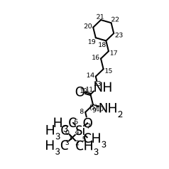 CC(C)(C)[Si](C)(C)OC[C@H](N)C(=O)NCCCCC1CCCCC1